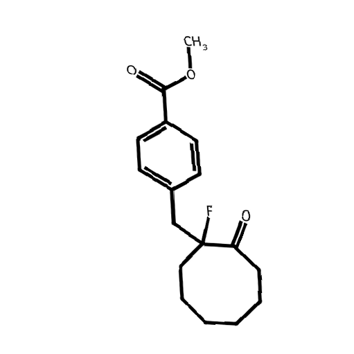 COC(=O)c1ccc(CC2(F)CCCCCCC2=O)cc1